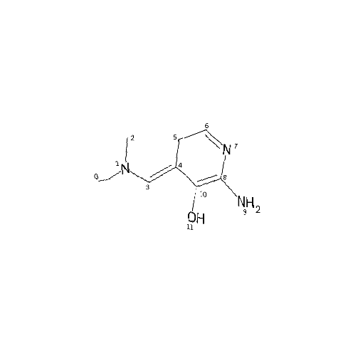 CN(C)C=C1CC=NC(N)=C1O